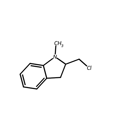 CN1c2ccccc2CC1CCl